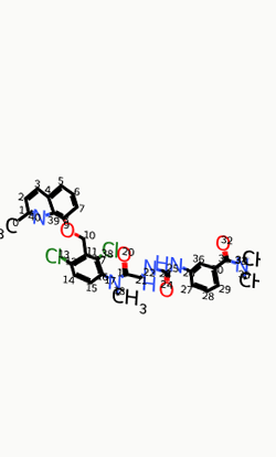 Cc1ccc2cccc(OCc3c(Cl)ccc(N(C)C(=O)CNC(=O)Nc4cccc(C(=O)N(C)C)c4)c3Cl)c2n1